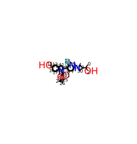 CC(O)C1CN(c2ccc(-c3cc4cc(O)ccc4n3C(=O)OC(C)(C)C)c(F)n2)C1